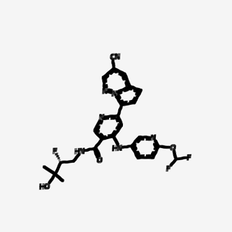 CC(C)(O)[C@H](F)CNC(=O)c1cnc(-c2ccc3cc(C#N)cnn23)cc1Nc1ccc(OC(F)F)nc1